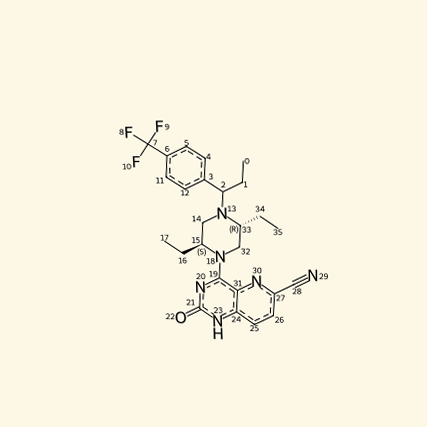 CCC(c1ccc(C(F)(F)F)cc1)N1C[C@H](CC)N(c2nc(=O)[nH]c3ccc(C#N)nc23)C[C@H]1CC